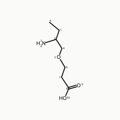 CCC(N)COCCC(=O)O